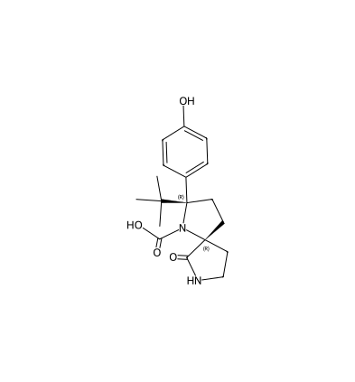 CC(C)(C)[C@@]1(c2ccc(O)cc2)CC[C@]2(CCNC2=O)N1C(=O)O